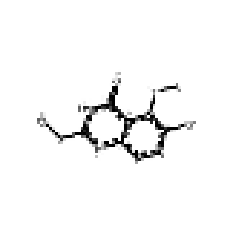 COc1c(Cl)ccc2nc(CCl)[nH]c(=O)c12